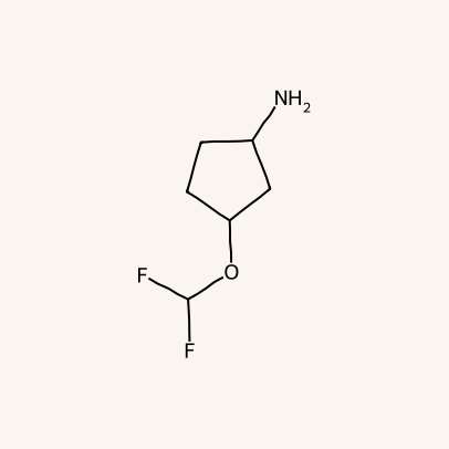 NC1CCC(OC(F)F)C1